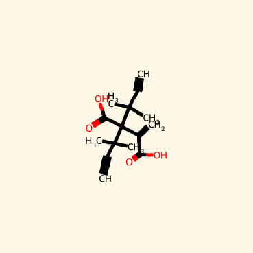 C#CC(C)(C)C(C(=C)C(=O)O)(C(=O)O)C(C)(C)C#C